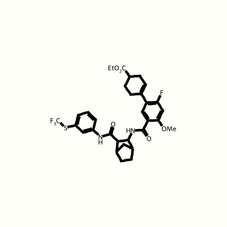 CCOC(=O)C1CC=C(c2cc(C(=O)NC3C4CCC(C4)C3C(=O)Nc3cccc(SC(F)(F)F)c3)c(OC)cc2F)CC1